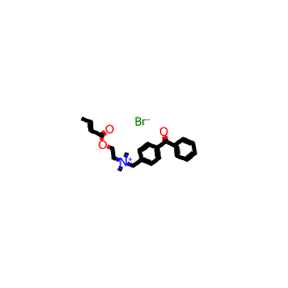 CC=CC(=O)OCC[N+](C)(C)Cc1ccc(C(=O)c2ccccc2)cc1.[Br-]